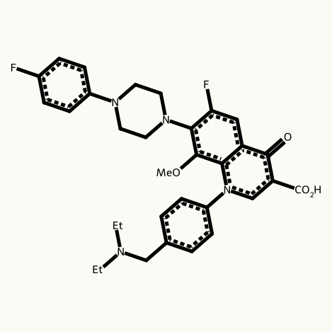 CCN(CC)Cc1ccc(-n2cc(C(=O)O)c(=O)c3cc(F)c(N4CCN(c5ccc(F)cc5)CC4)c(OC)c32)cc1